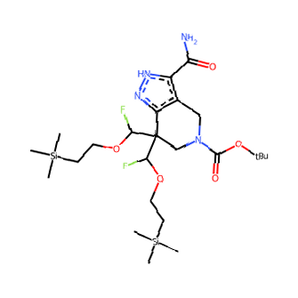 CC(C)(C)OC(=O)N1Cc2c(n[nH]c2C(N)=O)C(C(F)OCC[Si](C)(C)C)(C(F)OCC[Si](C)(C)C)C1